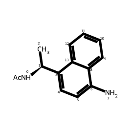 CC(=O)N[C@@H](C)c1ccc(N)c2ccccc12